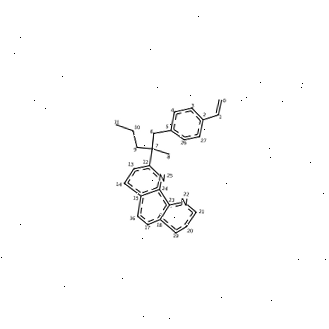 C=Cc1ccc(CC(C)(CCC)c2ccc3ccc4cccnc4c3n2)cc1